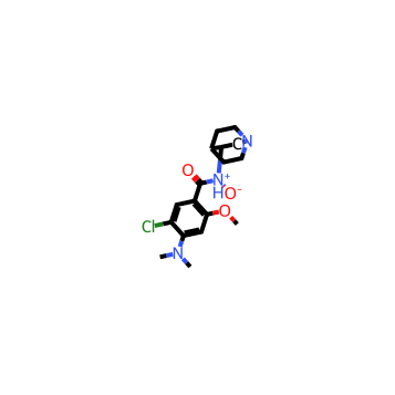 COc1cc(N(C)C)c(Cl)cc1C(=O)[NH+]([O-])C1CN2CCC1CC2